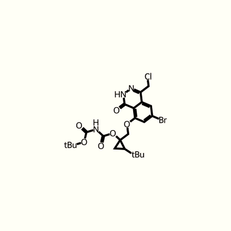 CC(C)(C)OC(=O)NC(=O)OC1(COc2cc(Br)cc3c(CCl)n[nH]c(=O)c23)CC1C(C)(C)C